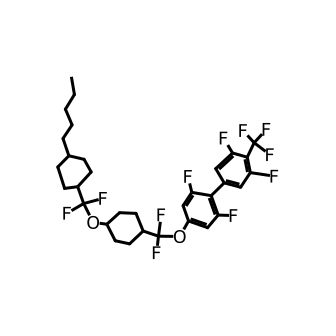 CCCCCC1CCC(C(F)(F)OC2CCC(C(F)(F)Oc3cc(F)c(-c4cc(F)c(C(F)(F)F)c(F)c4)c(F)c3)CC2)CC1